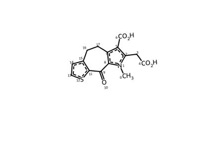 Cn1c(CC(=O)O)c(C(=O)O)c2c1C(=O)c1sccc1CC2